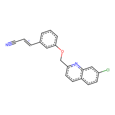 N#C/C=C/c1cccc(OCc2ccc3ccc(Cl)cc3n2)c1